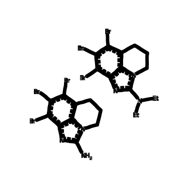 CCN(CC)c1nc2c(Br)c(Br)c(Br)c3c2n1CCC3.Nc1nc2c(Br)c(Br)c(Br)c3c2n1CCC3